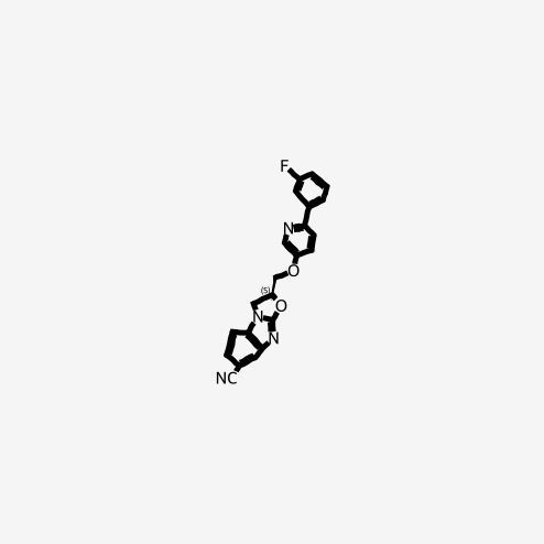 N#Cc1ccc2c(c1)nc1n2C[C@@H](COc2ccc(-c3cccc(F)c3)nc2)O1